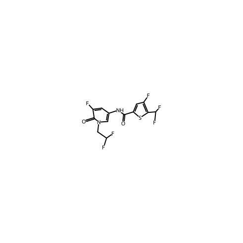 O=C(Nc1cc(F)c(=O)n(CC(F)F)c1)c1cc(F)c(C(F)F)s1